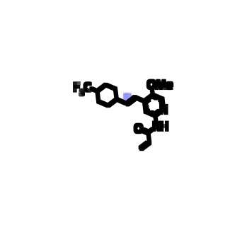 C=CC(=O)Nc1cc(/C=C/C2CCC(C(F)(F)F)CC2)c(OC)cn1